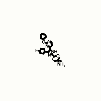 CC1(N)COC(c2nc(-c3ccc(F)cc3)c(-c3ccnc(Oc4ccccc4)n3)[nH]2)OC1